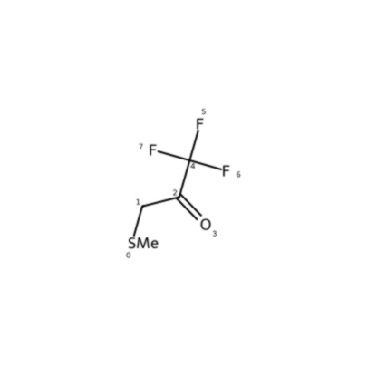 CSCC(=O)C(F)(F)F